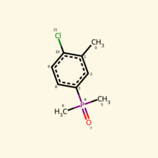 Cc1cc(P(C)(C)=O)ccc1Cl